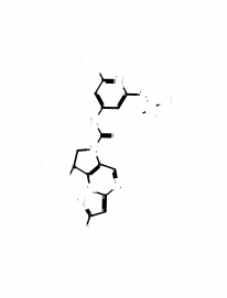 C[C@@]1(C(F)(F)F)CN(C(=O)Nc2cc(N=S(C)(C)=O)nc(C(F)(F)F)c2)c2cnc3cc(Cl)nn3c21